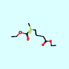 CCOC(=O)CCC[SH](C)C(=O)OCC